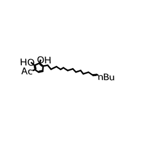 CCCC/C=C/CCCCCCCCCCCc1ccc(C(C)=O)c(O)c1O